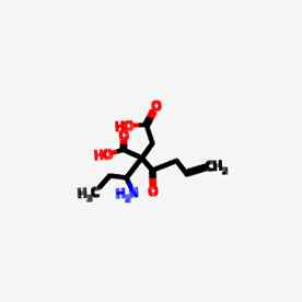 C=CCC(=O)C(CC(=O)O)(C(=O)O)C(N)CC